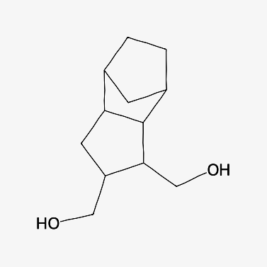 OCC1CC2C3CCC(C3)C2C1CO